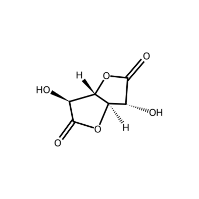 O=C1O[C@H]2[C@@H](OC(=O)[C@@H]2O)[C@@H]1O